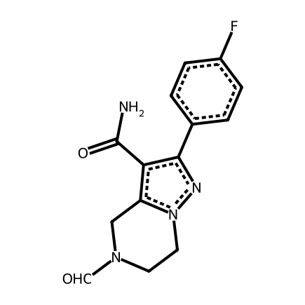 NC(=O)c1c(-c2ccc(F)cc2)nn2c1CN(C=O)CC2